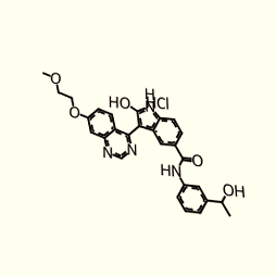 COCCOc1ccc2c(-c3c(O)[nH]c4ccc(C(=O)Nc5cccc(C(C)O)c5)cc34)ncnc2c1.Cl